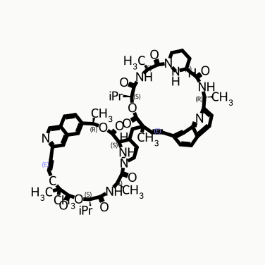 CC(C)[C@@H]1OC(=O)C(C)(C)C/C=C/c2cc3cc(ccc3cn2)[C@@H](C)OC(=O)[C@H]2NN(CCC2CC2(C)/C=C/c3ccc4ccc(nc4c3)[C@@H](C)NC(=O)[C@@H]3CCCN(N3)C(=O)[C@H](C)NC(=O)[C@H](C(C)C)OC2=O)C(=O)[C@H](C)NC1=O